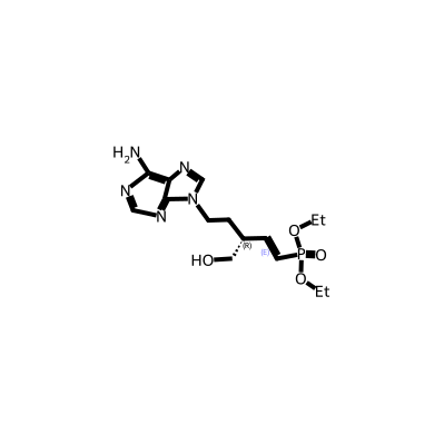 CCOP(=O)(/C=C/[C@H](CO)CCn1cnc2c(N)ncnc21)OCC